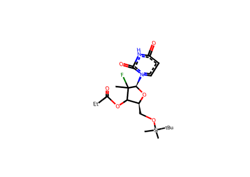 CCC(=O)OC1[C@H](CO[Si](C)(C)C(C)(C)C)O[C@H](n2ccc(=O)[nH]c2=O)C1(C)F